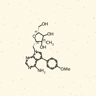 COc1ccc(-c2cn(C[C@@H]3O[C@H](CO)C(O)[C@@]3(C)O)c3ncnc(N)c23)cc1